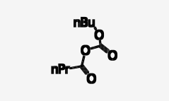 CCCCOC(=O)OC(=O)CCC